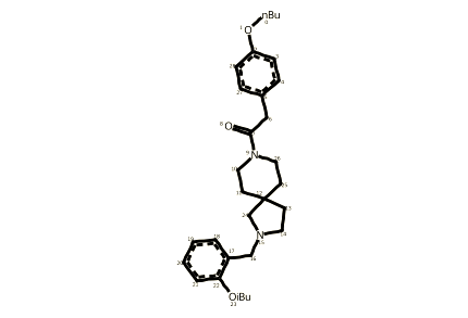 CCCCOc1ccc(CC(=O)N2CCC3(CCN(Cc4ccccc4OCC(C)C)C3)CC2)cc1